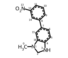 CN1[CH]Nc2ccc(-c3cccc([N+](=O)[O-])c3)cc21